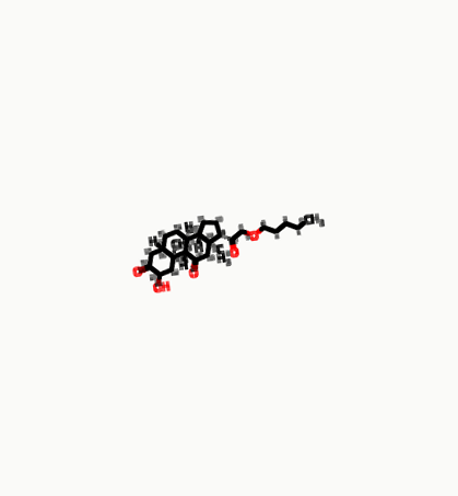 CCCCCOCC(=O)[C@H]1CC[C@H]2[C@@H]3CC[C@H]4CC(=O)C(O)C[C@]4(C)[C@H]3C(=O)C[C@]12C